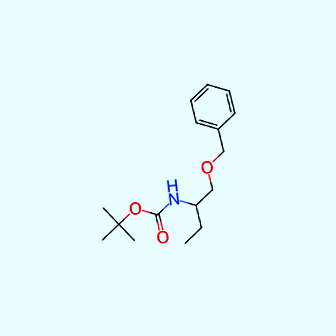 CCC(COCc1ccccc1)NC(=O)OC(C)(C)C